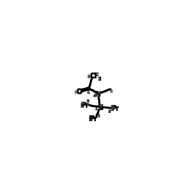 CC(C)[Si](C(C)C)(C(C)C)N(C)C(=O)C(F)(F)F